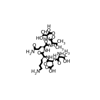 CC(C)[C@H](NC(=O)[C@H](CCC(N)=O)NC(=O)[C@H](CCCCN)NC(=O)[C@H](CC(=O)O)NC(=O)[C@@H](N)[C@@H](C)O)C(=O)N[C@H](C(=O)O)[C@@H](C)O